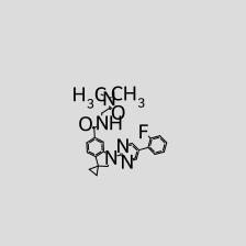 CN(C)C(=O)CNC(=O)c1ccc2c(c1)N(c1ncc(-c3ccccc3F)cn1)CC21CC1